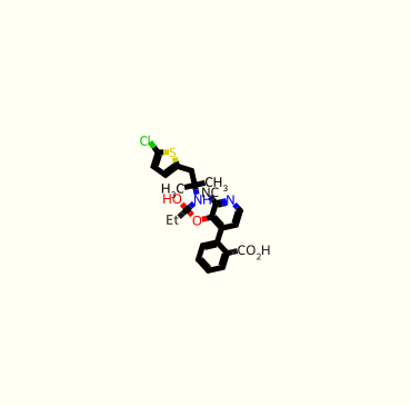 CCC(O)(NC(C)(C)Cc1ccc(Cl)s1)Oc1c(-c2ccccc2C(=O)O)ccnc1C#N